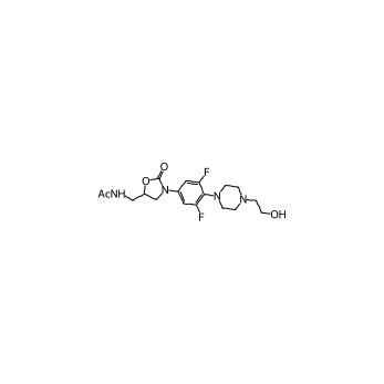 CC(=O)NCC1CN(c2cc(F)c(N3CCN(CCO)CC3)c(F)c2)C(=O)O1